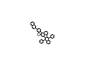 c1ccc(-c2c3c(c(-c4ccccc4)c4ccccc24)-c2cc4oc5cc(-c6ccc7ccccc7c6)ccc5c4c4cccc-3c24)cc1